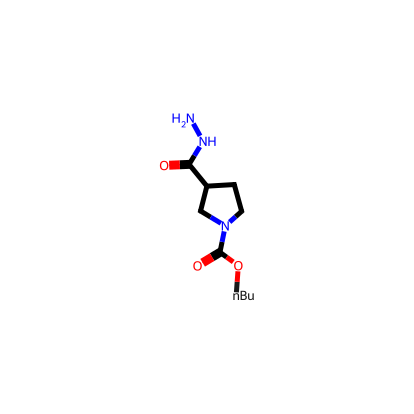 CCCCOC(=O)N1CCC(C(=O)NN)C1